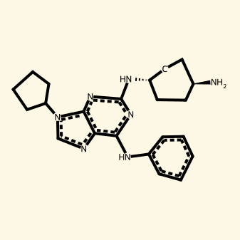 N[C@H]1CC[C@H](Nc2nc(Nc3ccccc3)c3ncn(C4CCCC4)c3n2)CC1